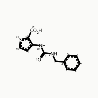 O=C(NCc1ccccc1)Nc1ccsc1C(=O)O